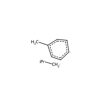 Cc1cc[c]cc1.[CH2]C(C)C